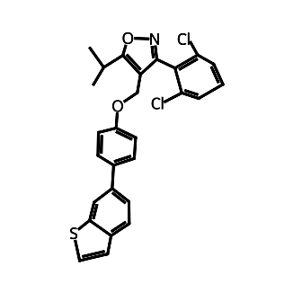 CC(C)c1onc(-c2c(Cl)cccc2Cl)c1COc1ccc(-c2ccc3ccsc3c2)cc1